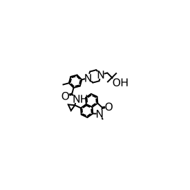 Cc1ccc(N2CCN(CC(C)(C)O)CC2)cc1C(=O)NC1(c2ccc3c4c(cccc24)C(=O)N3C)CC1